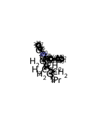 C=C(CCC(=C)C(=C)CCC(C)C)C(=C)CCC(=C)N(C/C=C\C(=C/C)c1cc2ccccc2o1)C1=CCC(c2cc3ccccn3c2)C=C1